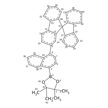 CC1(C)OB(c2ccc(-c3ccc4c(c3)C3(c5ccccc5-c5ccccc53)c3ccccc3-4)c3ccccc23)OC1(C)C